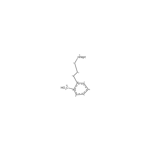 CCCCCCCCC[CH]c1ccccc1C(=O)O